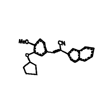 COc1ccc(C=C(C#N)c2ccc3ccccc3c2)cc1OC1CCCC1